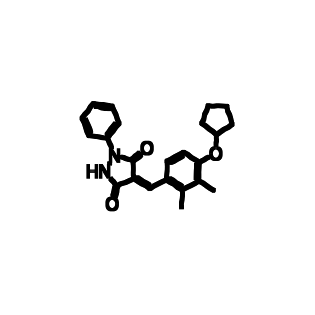 Cc1c(C=C2C(=O)NN(c3ccccc3)C2=O)ccc(OC2CCCC2)c1C